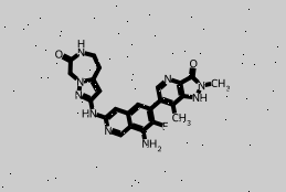 Cc1c(-c2cc3cc(Nc4cc5n(n4)CC(=O)NCC5)ncc3c(N)c2F)cnc2c(=O)n(C)[nH]c12